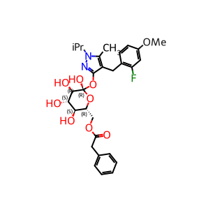 COc1ccc(Cc2c(O[C@]3(O)O[C@H](COC(=O)Cc4ccccc4)[C@@H](O)[C@H](O)[C@H]3O)nn(C(C)C)c2C)c(F)c1